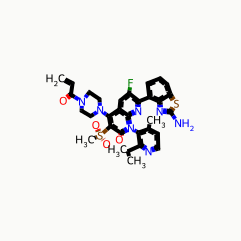 C=CC(=O)N1CCN(c2c(S(C)(=O)=O)c(=O)n(-c3c(C)ccnc3C(C)C)c3nc(-c4cccc5sc(N)nc45)c(F)cc23)CC1